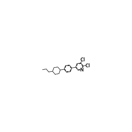 CCCC1CCC(c2ccc(-c3cnc(Cl)c(Cl)c3)cc2)CC1